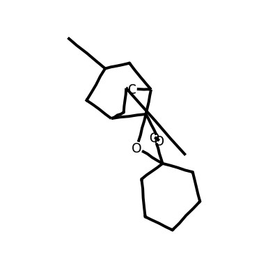 CC1CC2CC(C)CC(C1)C21OOC2(CCCCC2)O1